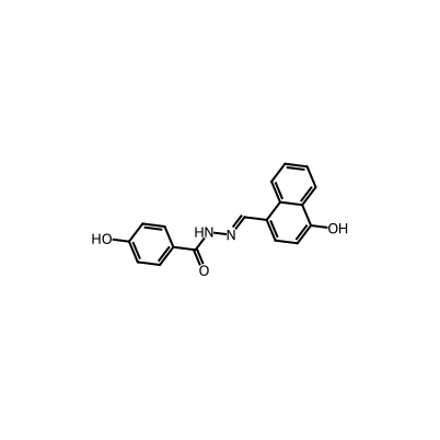 O=C(N/N=C/c1ccc(O)c2ccccc12)c1ccc(O)cc1